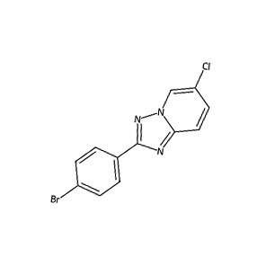 Clc1ccc2nc(-c3ccc(Br)cc3)nn2c1